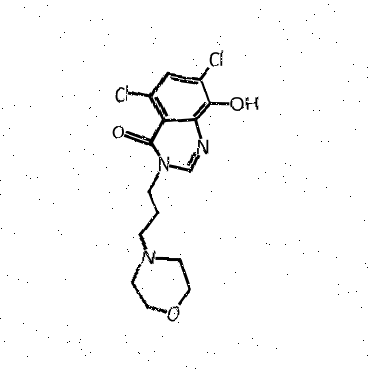 O=c1c2c(Cl)cc(Cl)c(O)c2ncn1CCCN1CCOCC1